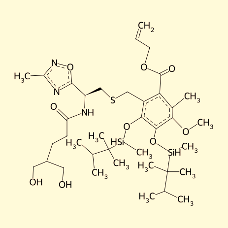 C=CCOC(=O)c1c(C)c(OC)c(O[SiH](C)C(C)(C)C(C)C)c(O[SiH](C)C(C)(C)C(C)C)c1CSC[C@@H](NC(=O)CCC(CO)CO)c1nc(C)no1